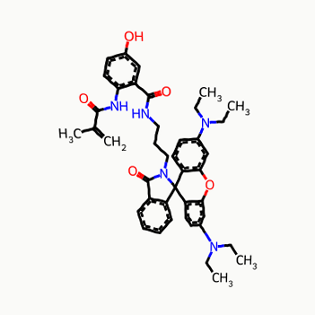 C=C(C)C(=O)Nc1ccc(O)cc1C(=O)NCCCN1C(=O)c2ccccc2C12c1ccc(N(CC)CC)cc1Oc1cc(N(CC)CC)ccc12